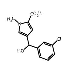 Cn1cc(C(O)c2cccc(Cl)c2)cc1C(=O)O